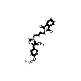 COc1ccc(-c2ncn(CCCCN3C(=O)c4ccccc4C3=O)c2C)cn1